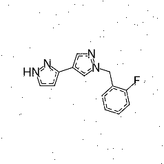 Fc1ccccc1Cn1cc(-c2cc[nH]n2)cn1